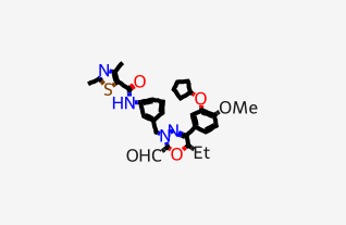 CCC1OC(C=O)N(Cc2cccc(NC(=O)c3sc(C)nc3C)c2)N=C1c1ccc(OC)c(OC2CCCC2)c1